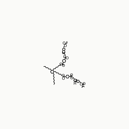 C=CC(=O)OCC1CC2C3CC(COC(=O)C4CCC(C(=O)OCCCCCCC5C(CCCCCC)CCC(CCCCCCCC)C5CCCCCCOC(=O)C5CCC(C(=O)OCC6C[C@@H]7CC6C6CC(COC(=O)C(=C)C)CC67)CC5)CC4)C(C3)C2C1